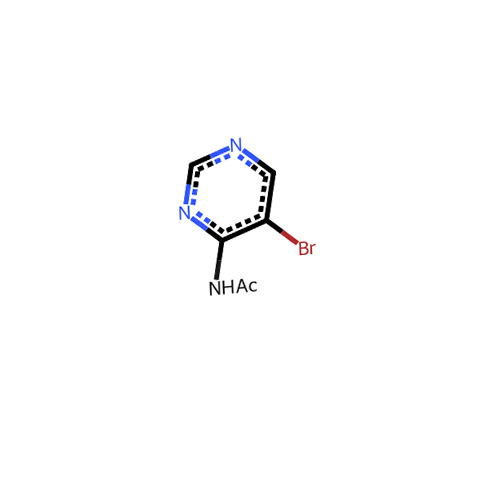 CC(=O)Nc1ncncc1Br